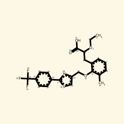 CCOC(Cc1cccc(C)c1OCc1csc(-c2ccc(C(F)(F)F)cc2)n1)C(=O)O